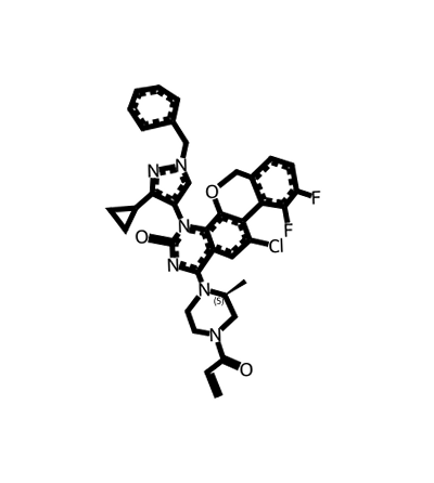 C=CC(=O)N1CCN(c2nc(=O)n(-c3cn(Cc4ccccc4)nc3C3CC3)c3c4c(c(Cl)cc23)-c2c(ccc(F)c2F)CO4)[C@@H](C)C1